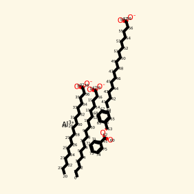 CCCCCCCCCCCCCCCCCC(=O)[O-].CCCCCCCCCCCCCCCCCC(=O)[O-].CCCCCCCCCCCCCCCCCC(=O)[O-].O=C(OCc1ccccc1)c1ccccc1.[Al+3]